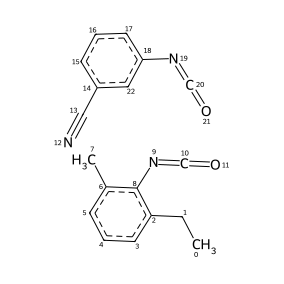 CCc1cccc(C)c1N=C=O.N#Cc1cccc(N=C=O)c1